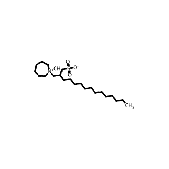 CCCCCCCCCCCCCC(C[N+]1(C)CCCCCC1)CS(=O)(=O)[O-]